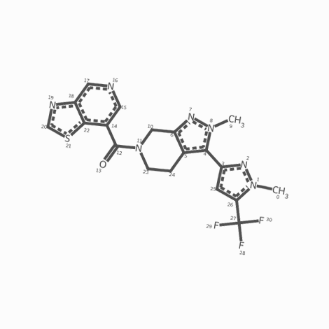 Cn1nc(-c2c3c(nn2C)CN(C(=O)c2cncc4ncsc24)CC3)cc1C(F)(F)F